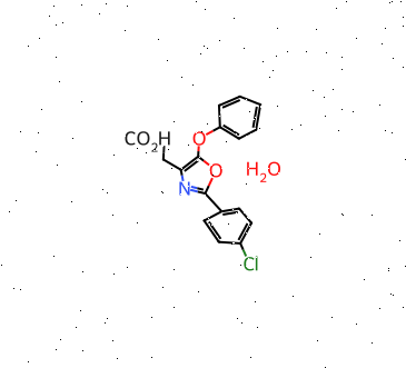 O.O=C(O)Cc1nc(-c2ccc(Cl)cc2)oc1Oc1ccccc1